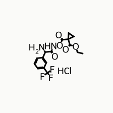 CCOC(=O)C1(C(=O)ONC(=O)C(N)c2cccc(C(F)(F)F)c2)CC1.Cl